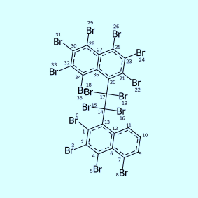 Brc1c(Br)c(Br)c2c(Br)cccc2c1C(Br)(Br)C(Br)(Br)c1c(Br)c(Br)c(Br)c2c(Br)c(Br)c(Br)c(Br)c12